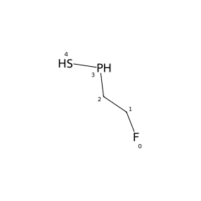 FCCPS